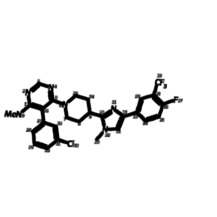 CNc1ncnc(N2CCC(c3nc(-c4ccc(F)c(C(F)(F)F)c4)cn3C)CC2)c1-c1cccc(Cl)c1